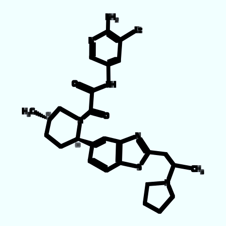 CCc1cc(NC(=O)C(=O)N2C[C@@H](C)CC[C@@H]2c2ccc3sc(CC(C)N4CCCC4)nc3c2)cnc1N